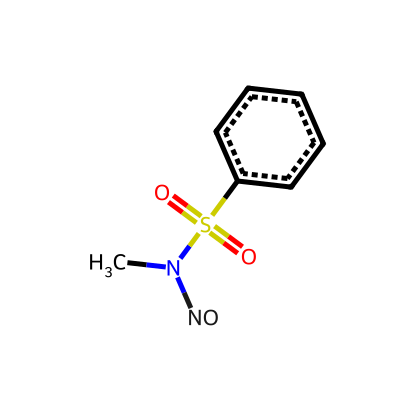 CN(N=O)S(=O)(=O)c1ccccc1